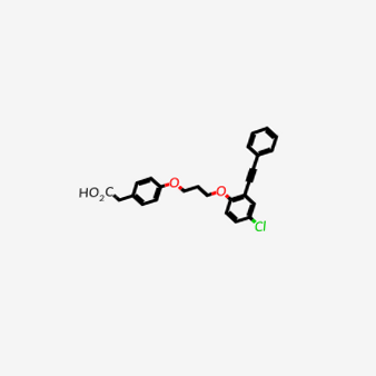 O=C(O)Cc1ccc(OCCCOc2ccc(Cl)cc2C#Cc2ccccc2)cc1